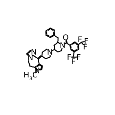 Cn1ccc2c1CCn1ccnc1C2=C1CCN(C2CCN(C(=O)c3cc(C(F)(F)F)cc(C(F)(F)F)c3)C(Cc3ccccc3)C2)CC1